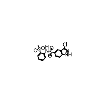 CS(=O)(=O)c1ccccc1NS(=O)(=O)c1ccc2[nH]nc(Cl)c2c1